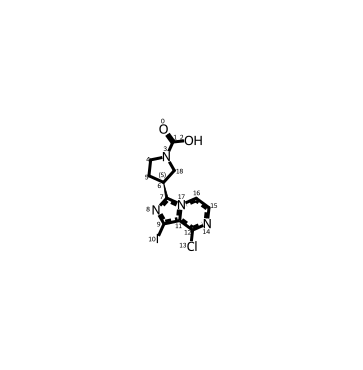 O=C(O)N1CC[C@H](c2nc(I)c3c(Cl)nccn23)C1